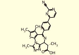 Cc1sc2c(c1C)C(c1ccc(-c3ccnc(C#N)n3)cc1)=NC([C@H](C)C(=O)O)c1nnc(C)n1-2